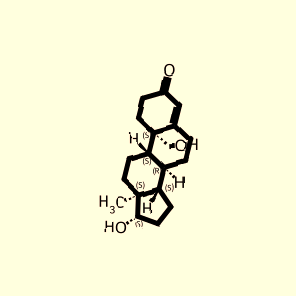 C[C@]12CC[C@H]3[C@@H](CCC4=CC(=O)CC[C@@]43CO)[C@@H]1CC[C@@H]2O